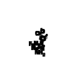 COC(=O)[C@H]1C[C@H](n2cnc3c(N)nc(F)nc32)C[C@@H]1C